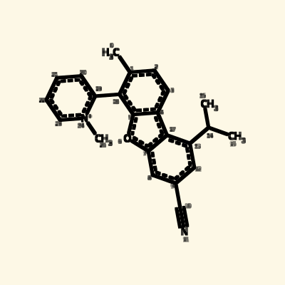 Cc1ccc2c(oc3cc(C#N)cc(C(C)C)c32)c1-c1cccc[n+]1C